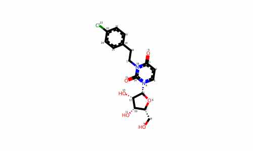 O=c1ccn([C@@H]2O[C@H](CO)[C@H](O)[C@@H]2O)c(=O)n1CCc1ccc(Cl)cc1